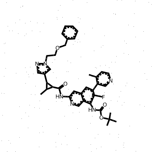 Cc1ccncc1-c1cc2cc(NC(=O)C3C(C)C3c3cnn(CCOCc4ccccc4)c3)ncc2c(NC(=O)OC(C)(C)C)c1F